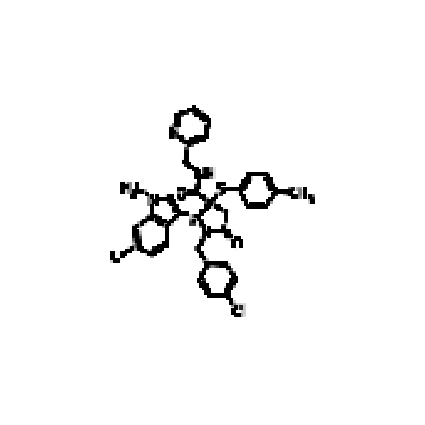 Cc1ccc(SC2(C(=O)NCc3ccccn3)CC(=O)N(Cc3ccc(Cl)cc3)[C@H]2c2cn(C)c3cc(Cl)ccc23)cc1